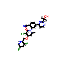 Cc1cc(OCc2ncc(F)cc2F)c(Cl)c(=O)n1-c1cc(-c2ccnc(C(C)(C)O)n2)ccc1C#N